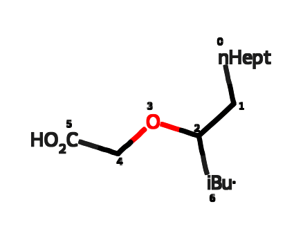 CCCCCCCCC(OCC(=O)O)[C](C)CC